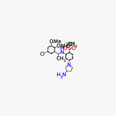 COc1cc(Cl)cc(C(C)Nc2cc(N3CC[C@@H](N)C3)ccc2S(C)(=O)=O)c1OC.Cl